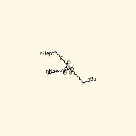 CCCC/C=C\C/C=C\CCCCCCCC(=O)O[C@H](COC(=O)CCCCCCC/C=C\CCCCCCC)COC(=O)CCCCCCC/C=C\CCCCCCCCC